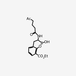 CCOC(=O)c1cccc2c1OB(O)C(NC(=O)CCCC(C)=O)C2